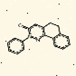 O=c1cc2c(nn1-c1ccccc1)-c1ccccc1CC2